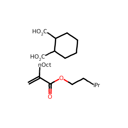 C=C(CCCCCCCC)C(=O)OCCC(C)C.O=C(O)C1CCCCC1C(=O)O